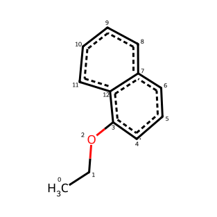 CCOc1[c]ccc2ccccc12